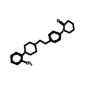 Cc1ccccc1N1CCN(CCc2ccc(N3CCCCC3=O)cc2)CC1